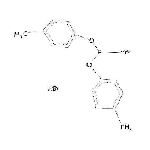 Br.CCCP(Oc1ccc(C)cc1)Oc1ccc(C)cc1